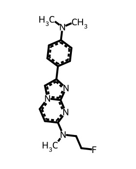 CN(C)c1ccc(-c2cn3ccc(N(C)CCF)nc3n2)cc1